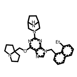 CCc1cccc2cccc(Cn3cnc4c(OCC56CCCN5CCC6)nc(N5CC6CCC(C5)N6)nc43)c12